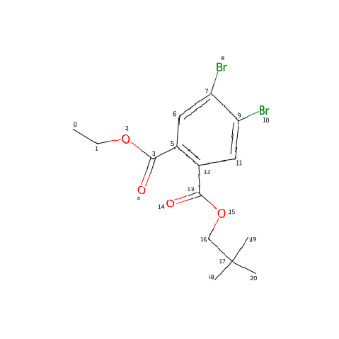 CCOC(=O)c1cc(Br)c(Br)cc1C(=O)OCC(C)(C)C